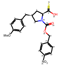 COc1ccc(C[C@H]2C[C@@H](C(O)=S)N(C(=O)OCc3ccc([N+](=O)[O-])cc3)C2)cc1